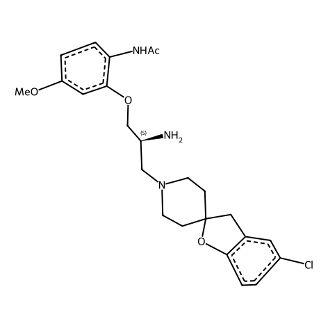 COc1ccc(NC(C)=O)c(OC[C@@H](N)CN2CCC3(CC2)Cc2cc(Cl)ccc2O3)c1